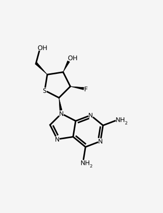 Nc1nc(N)c2ncn([C@H]3S[C@@H](CO)[C@@H](O)[C@H]3F)c2n1